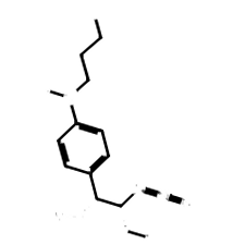 CO[C@H](c1ccc([S+]([O-])CCCF)cc1)[C@@H](CF)N=[N+]=[N-]